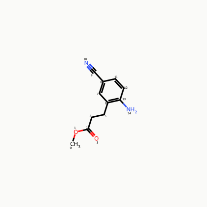 COC(=O)CCc1cc(C#N)ccc1N